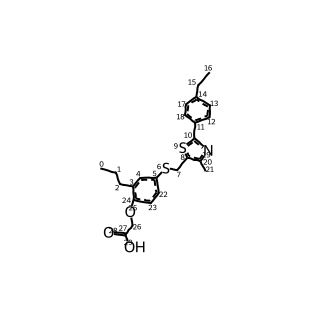 CCCc1cc(SCc2sc(-c3ccc(CC)cc3)nc2C)ccc1OCC(=O)O